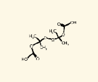 CC(C)(OOC(C)(C)OC(=O)O)OC(=O)O